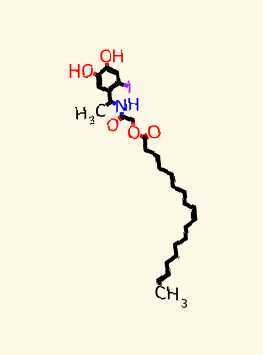 CCCCCCCC/C=C\CCCCCCCC(=O)OCC(=O)NC(C)c1cc(O)c(O)cc1I